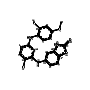 COc1ccc(Nc2ncc(Cl)c(Nc3ccc4oc(=O)[nH]c4c3)n2)c(F)c1